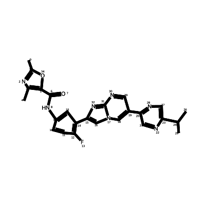 Cc1nc(C)c(C(=O)Nc2ccc(F)c(-c3cn4cc(-c5cnc(C(C)C)cn5)cnc4n3)c2)o1